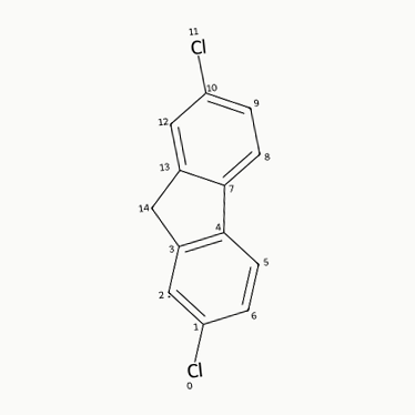 Clc1[c]c2c(cc1)-c1ccc(Cl)cc1C2